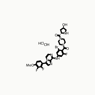 COc1ccc(-c2cnc3c(Nc4cc(F)c(C(=O)N5CCN(C(=O)[C@@H]6C[C@@H](O)CN6)CC5)c(Br)c4)nccn23)c(F)c1F.Cl.Cl